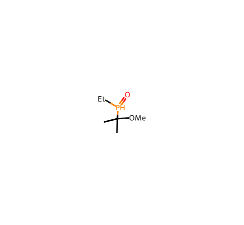 CC[PH](=O)C(C)(C)OC